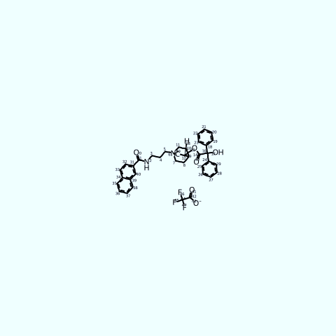 O=C(NCCC[N+]12CCC(CC1)[C@@H](OC(=O)C(O)(c1ccccc1)c1ccccc1)C2)c1ccc2ccccc2c1.O=C([O-])C(F)(F)F